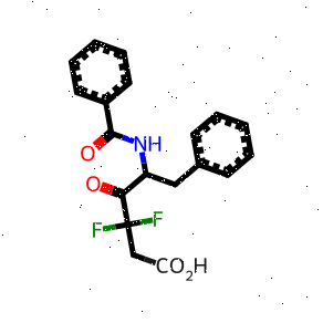 O=C(O)CC(F)(F)C(=O)C(Cc1ccccc1)NC(=O)c1ccccc1